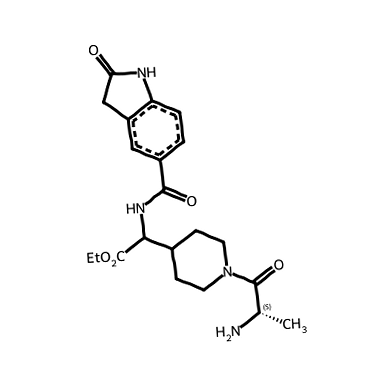 CCOC(=O)C(NC(=O)c1ccc2c(c1)CC(=O)N2)C1CCN(C(=O)[C@H](C)N)CC1